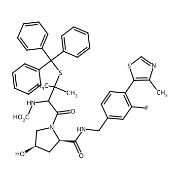 Cc1ncsc1-c1ccc(CNC(=O)[C@H]2C[C@@H](O)CN2C(=O)C(NC(=O)O)C(C)(C)SC(c2ccccc2)(c2ccccc2)c2ccccc2)cc1F